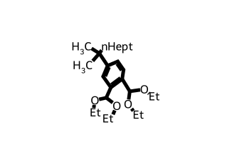 CCCCCCCC(C)(C)c1ccc(C(OCC)OCC)c(C(OCC)OCC)c1